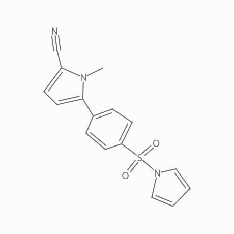 Cn1c(C#N)ccc1-c1ccc(S(=O)(=O)n2cccc2)cc1